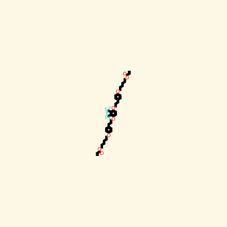 C=CC(=O)OCCCCCCOc1ccc(CCCOc2ccc(OCCCc3ccc(OCCCCCCOC(=O)C=C)cc3)c(C(F)(F)F)c2C(F)(F)F)cc1